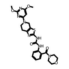 COc1cc(N2CCc3nc(NC(=O)Nc4ccccc4C(=O)N4CCOCC4)sc3C2)nc(OC)n1